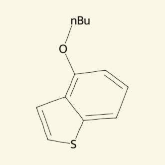 CCCCOc1cccc2sccc12